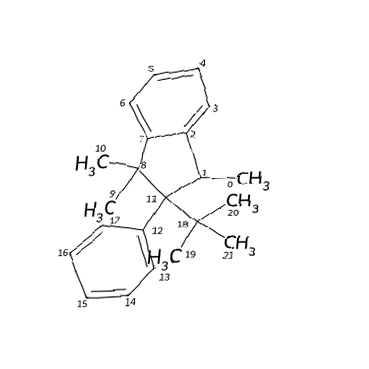 CC1c2ccccc2C(C)(C)C1(c1ccccc1)C(C)(C)C